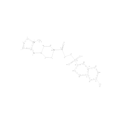 Cn1ccsc1=NC1CCN(C(=O)CCS(=O)(=O)c2ccc3cc(Cl)ccc3c2)CC1